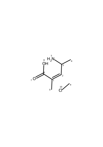 CC(=CC(C)N)C(=O)O.CCl